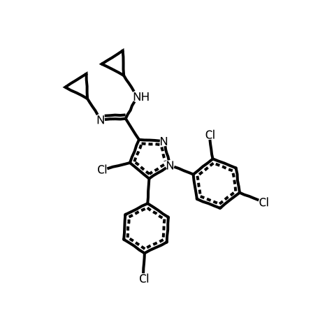 Clc1ccc(-c2c(Cl)c(C(=NC3CC3)NC3CC3)nn2-c2ccc(Cl)cc2Cl)cc1